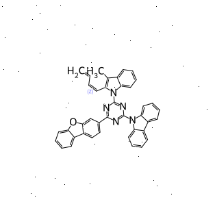 C=C/C=C\c1c(C)c2ccccc2n1-c1nc(-c2ccc3c(c2)oc2ccccc23)nc(-n2c3ccccc3c3ccccc32)n1